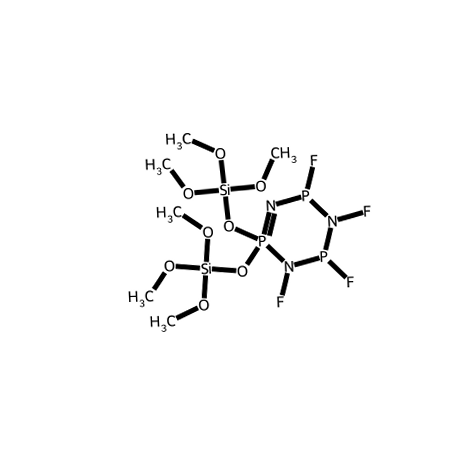 CO[Si](OC)(OC)OP1(O[Si](OC)(OC)OC)=NP(F)N(F)P(F)N1F